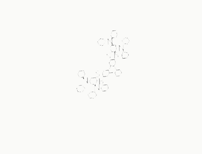 c1ccc(N(c2ccccc2)c2cc3c4c(c2)N(c2ccccc2)c2ccccc2B4c2cc4c5ccccc5c5cc6c(cc5c4cc2S3)Sc2cc(N(c3ccccc3)c3ccccc3)cc3c2B6c2ccccc2N3c2ccccc2)cc1